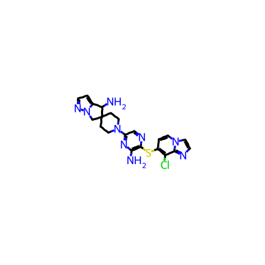 Nc1nc(N2CCC3(CC2)Cn2nccc2C3N)cnc1Sc1ccn2ccnc2c1Cl